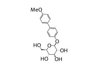 COc1ccc(-c2ccc(O[C@@H]3O[C@H](CO)[C@@H](O)[C@H](O)[C@H]3O)cc2)cc1